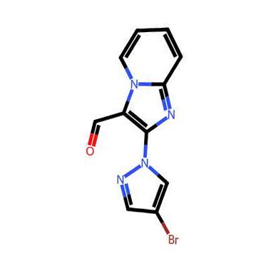 O=Cc1c(-n2cc(Br)cn2)nc2ccccn12